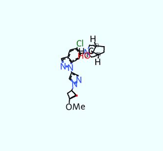 COC12CC(n3cc(-n4ncc5cc(Cl)c(N6C[C@H]7CC[C@@H](C6)C7(C)O)cc54)cn3)(C1)C2